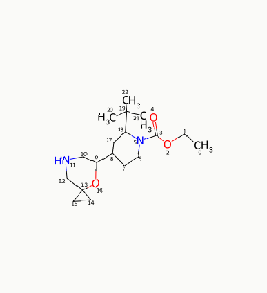 CCOC(=O)N1CCC(C2CNCC3(CC3)O2)CC1C(C)(C)C